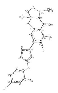 C[C@H]1COC2(C)Cn3cc(-c4cn(Cc5ccc(F)cc5F)cn4)c(=O)c(O)c3C(=O)N12